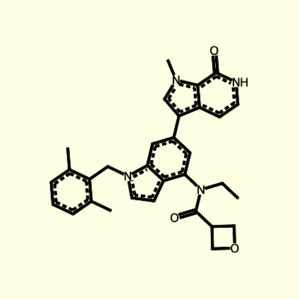 CCN(C(=O)C1COC1)c1cc(-c2cn(C)c3c(=O)[nH]ccc23)cc2c1ccn2Cc1c(C)cccc1C